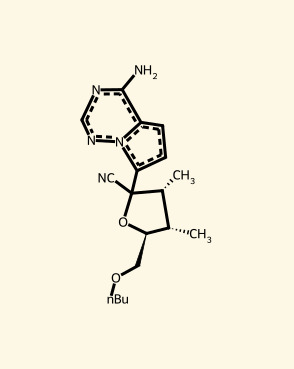 CCCCOC[C@H]1OC(C#N)(c2ccc3c(N)ncnn23)[C@H](C)[C@@H]1C